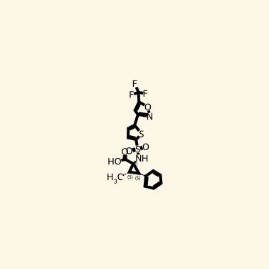 C[C@H]1[C@@H](c2ccccc2)[C@@]1(NS(=O)(=O)c1ccc(-c2cc(C(F)(F)F)on2)s1)C(=O)O